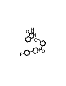 O=C(c1cccc(COc2n[nH]c(=O)c3ccccc23)c1)N1CC=C(c2ccc(F)cc2)CC1